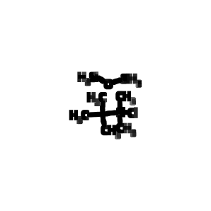 CC(C)(C)[Si](C)(C)Cl.[SiH3]O[SiH3]